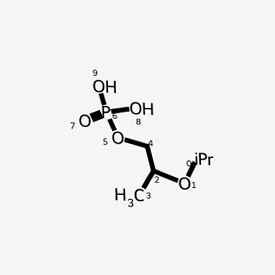 CC(C)OC(C)COP(=O)(O)O